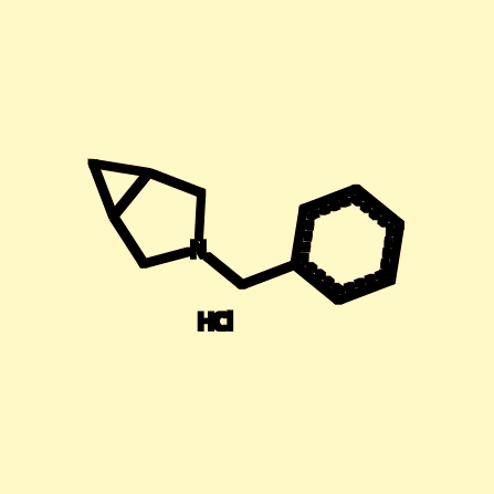 Cl.c1ccc(CN2CC3CC3C2)cc1